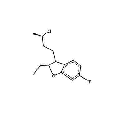 CC[C@@H]1Oc2cc(F)ccc2C1CC[C@@H](C)Cl